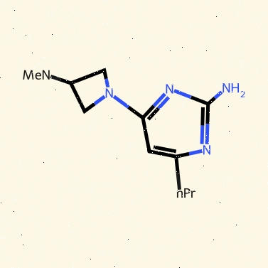 CCCc1cc(N2CC(NC)C2)nc(N)n1